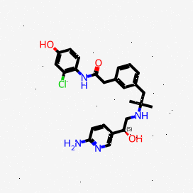 CC(C)(Cc1cccc(CC(=O)Nc2ccc(O)cc2Cl)c1)NC[C@@H](O)c1ccc(N)nc1